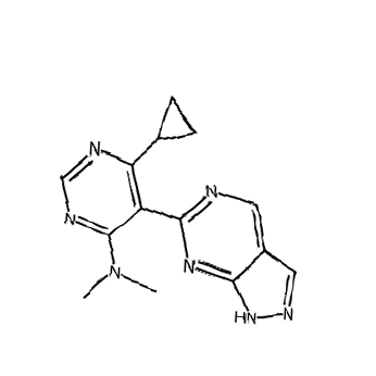 CN(C)c1ncnc(C2CC2)c1-c1ncc2cn[nH]c2n1